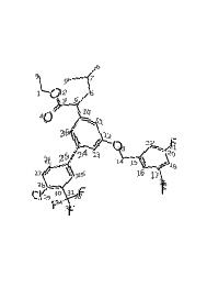 CCOC(=O)C(CC(C)C)c1cc(OCc2cc(F)cc(F)c2)cc(-c2ccc(Cl)c(C(F)(F)F)c2)c1